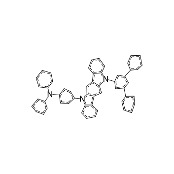 c1ccc(-c2cc(-c3ccccc3)cc(-n3c4ccccc4c4cc5c(cc43)c3ccccc3n5-c3ccc(N(c4ccccc4)c4ccccc4)cc3)c2)cc1